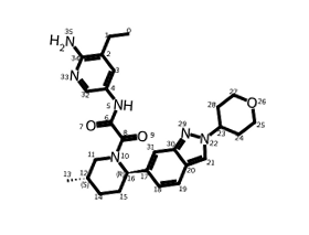 CCc1cc(NC(=O)C(=O)N2C[C@@H](C)CC[C@@H]2c2ccc3cn(C4CCOCC4)nc3c2)cnc1N